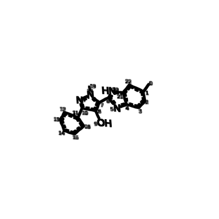 Cc1ccc2nc(-c3c(O)c(-c4ccccc4)nn3C)[nH]c2c1